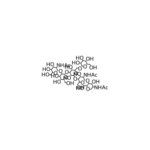 CC(=O)NC1[C@H](OC2C(O)C(O)[C@H](CO)O[C@@H]2O[C@@H]2C(O)[C@H](O[C@@H]3C(CO)O[C@@H](O[C@@H]4C(CO)O[C@@H](C)C(NC(C)=O)[C@H]4O)C(NC(C)=O)[C@H]3O)OC(CO[C@H]3OC(CO)[C@@H](O)[C@H](O)C3O)[C@H]2O)OC(CO)[C@@H](O)[C@@H]1O